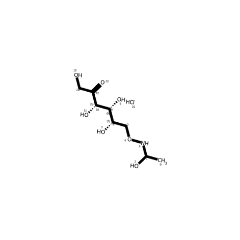 CC(O)NOC[C@H](O)[C@@H](O)[C@H](O)C(=O)CO.Cl